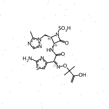 C=C(O)C(C)(C)O/N=C(\C(=O)N[C@@H]1C(=O)N(S(=O)(=O)O)[C@@H]1Cn1ncnc1C)c1csc(N)n1